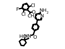 CC(Oc1cc(-c2ccc(C(=O)NCC3(O)CCCCC3)cc2)cnc1N)c1c(Cl)ccc(F)c1Cl